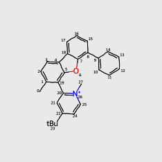 Cc1ccc2c(oc3c(-c4ccccc4)cccc32)c1-c1cc(C(C)(C)C)cc[n+]1C